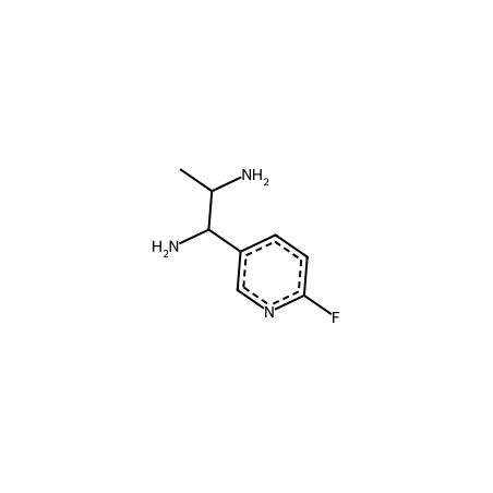 CC(N)C(N)c1ccc(F)nc1